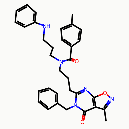 Cc1ccc(C(=O)N(CCCNc2ccccc2)CCCc2nc3onc(C)c3c(=O)n2Cc2ccccc2)cc1